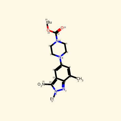 CCn1nc2c(C)cc(N3CCN(C(=O)OC(C)(C)C)CC3)cc2c1[N+](=O)[O-]